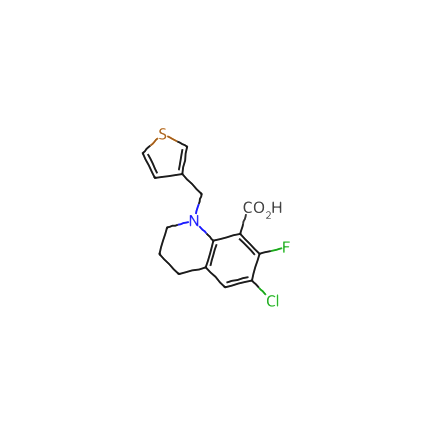 O=C(O)c1c(F)c(Cl)cc2c1N(Cc1ccsc1)CCC2